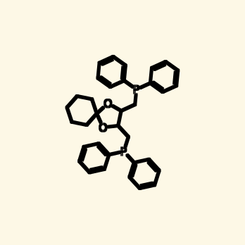 c1ccc(P(CC2OC3(CCCCC3)OC2CP(c2ccccc2)c2ccccc2)c2ccccc2)cc1